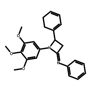 COc1cc(N2/C(=N/c3ccccc3)CC2C2=CC=CCC2)cc(OC)c1OC